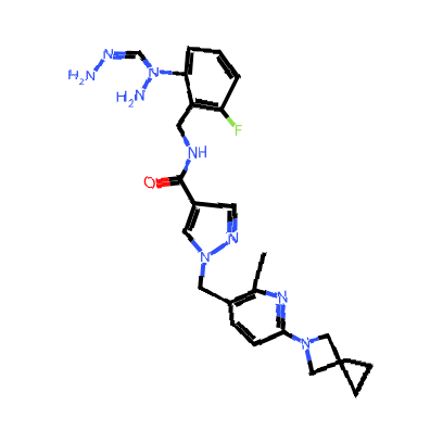 Cc1nc(N2CC3(CC3)C2)ccc1Cn1cc(C(=O)NCc2c(F)cccc2N(N)/C=N\N)cn1